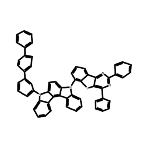 c1ccc(-c2ccc(-c3cccc(-n4c5ccccc5c5c6c7ccccc7n(-c7cccc8c7sc7c(-c9ccccc9)nc(-c9ccccc9)nc78)c6ccc54)c3)cc2)cc1